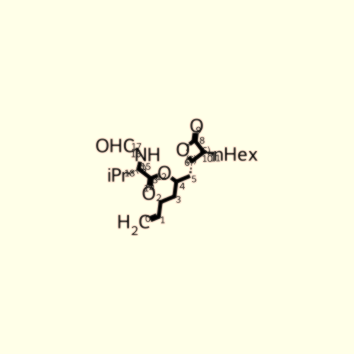 C=CCCC(C[C@@H]1OC(=O)[C@H]1CCCCCC)OC(=O)[C@@H](NC=O)C(C)C